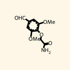 COc1cc(C=O)cc(OC)c1OCC(N)=O